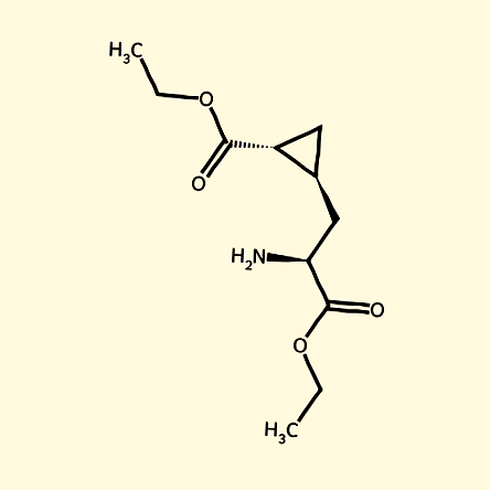 CCOC(=O)[C@@H](N)C[C@@H]1C[C@H]1C(=O)OCC